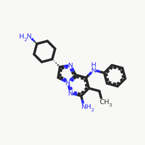 CCc1c(N)nn2cc([C@H]3CC[C@H](N)CC3)nc2c1Nc1ccccc1